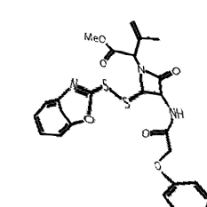 C=C(C)C(C(=O)OC)N1C(=O)C(NC(=O)COc2ccccc2)C1SSc1nc2ccccc2o1